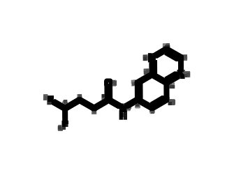 O=C(CCC(F)F)Nc1ccc2nccnc2c1